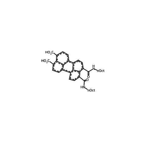 CCCCCCCCNC(=O)c1ccc2c3ccc(C(=O)O)c4c(C(=O)O)ccc(c5ccc(C(=O)NCCCCCCCC)c1c25)c43